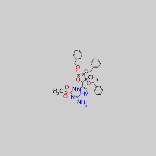 C[C@]1(OCc2ccccc2)C(c2cnc3c(N)nc(S(C)(=O)=O)nn23)O[C@H](COCc2ccccc2)[C@H]1OCc1ccccc1